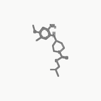 COc1cc(N)c(NC2CCN(C(=O)OCC(C)C)CC2)cc1C